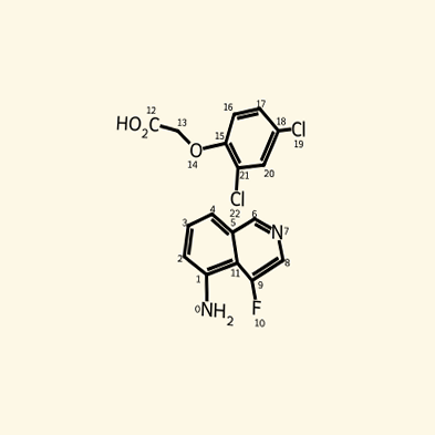 Nc1cccc2cncc(F)c12.O=C(O)COc1ccc(Cl)cc1Cl